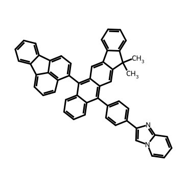 CC1(C)c2ccccc2-c2cc3c(-c4ccc5c6c(cccc46)-c4ccccc4-5)c4ccccc4c(-c4ccc(-c5cn6ccccc6n5)cc4)c3cc21